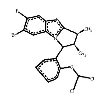 C[C@@H]1c2nc3cc(F)c(Br)cc3n2C(c2ccccc2OC(Cl)Cl)[C@@H]1C